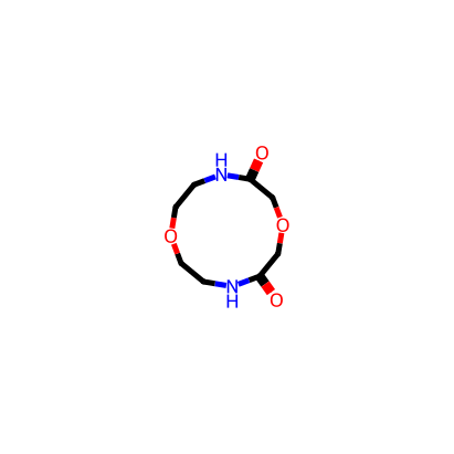 O=C1COCC(=O)NCCOCCN1